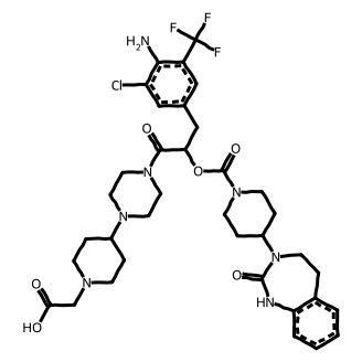 Nc1c(Cl)cc(CC(OC(=O)N2CCC(N3CCc4ccccc4NC3=O)CC2)C(=O)N2CCN(C3CCN(CC(=O)O)CC3)CC2)cc1C(F)(F)F